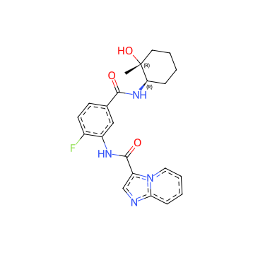 C[C@@]1(O)CCCC[C@H]1NC(=O)c1ccc(F)c(NC(=O)c2cnc3ccccn23)c1